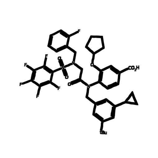 CC(C)(C)c1cc(CN(C(=O)CN(Cc2ccccc2F)S(=O)(=O)c2c(F)c(F)c(F)c(F)c2F)c2ccc(C(=O)O)cc2OC2CCCC2)cc(C2CC2)c1